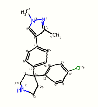 Cc1nn(C)cc1-c1ccc(C2(c3ccc(Cl)cc3)CCNCC2)cc1